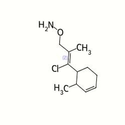 C/C(CON)=C(/Cl)C1CCC=CC1C